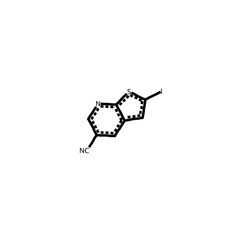 N#Cc1cnc2sc(I)cc2c1